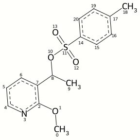 COc1ncccc1C(C)OS(=O)(=O)c1ccc(C)cc1